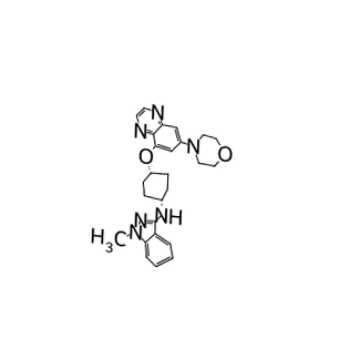 Cn1nc(N[C@H]2CC[C@@H](Oc3cc(N4CCOCC4)cc4nccnc34)CC2)c2ccccc21